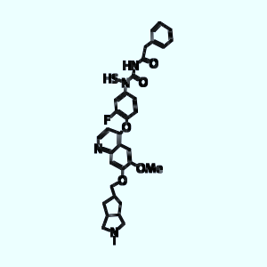 COc1cc2c(Oc3ccc(N(S)C(=O)NC(=O)Cc4ccccc4)cc3F)ccnc2cc1OCC1CC2CN(C)CC2C1